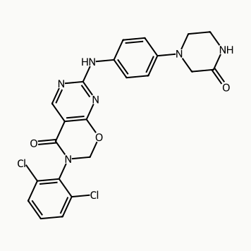 O=C1CN(c2ccc(Nc3ncc4c(n3)OCN(c3c(Cl)cccc3Cl)C4=O)cc2)CCN1